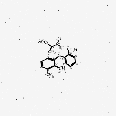 CCN(CC)C(C)OC(C)=O.Cc1cccc(Nc2ccccc2C(=O)O)c1C